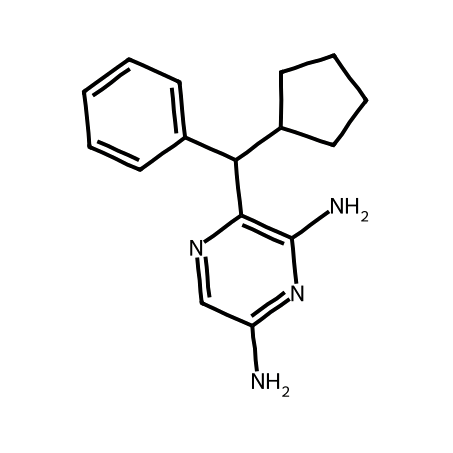 Nc1cnc(C(c2ccccc2)C2CCCC2)c(N)n1